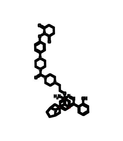 Nc1nnc(-c2ccccc2O)cc1N1CC2CCC(C1)N2c1cccc(OCCN2CCN(C(=O)N3CCN(c4ccc(ON5C(=O)CCCC5=O)cc4)CC3)CC2)c1